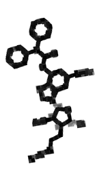 CC[C@H]1O[C@@H](n2cnc3c(OC(=O)N(c4ccccc4)c4ccccc4)cc(NC(C)=O)cc32)[C@H](OC(C)=O)[C@@H]1CCN=[N+]=[N-]